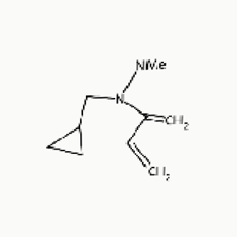 C=CC(=C)N(CC1CC1)NC